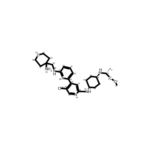 COC[C@@H](C)N[C@H]1CC[C@H](Nc2cc(-c3cccc(NCC4(N)CCOCC4)n3)c(Cl)cn2)CC1